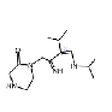 CC(C)N/C=C(\C(=N)CN1CCNCC1=O)C(C)C